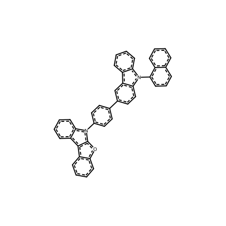 c1ccc2c(-n3c4ccccc4c4cc(-c5ccc(-n6c7ccccc7c7c8ccccc8oc76)cc5)ccc43)cccc2c1